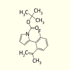 C=C(C)c1cccc(F)c1-c1cccn1C(=O)OC(C)(C)C